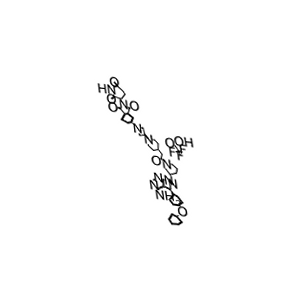 Nc1ncnc2c1c(-c1ccc(Oc3ccccc3)cc1)nn2C1CCCN(C(=O)CC2CCN(C3CN(c4ccc5c(c4)C(=O)N(C4CCC(=O)NC4=O)C5=O)C3)CC2)C1.O=C(O)C(F)(F)F